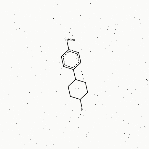 CCCCCCc1ccc(C2CCC(F)CC2)cc1